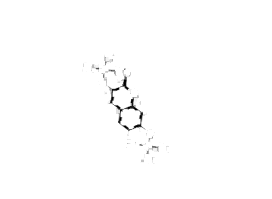 CC[Si](CC)(CC)Oc1ccc2cc(O[Si](CC)(CC)CC)c(=O)oc2c1